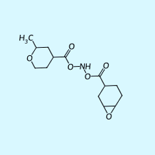 CC1CC(C(=O)ONOC(=O)C2CCC3OC3C2)CCO1